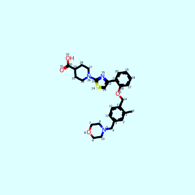 Cc1cc(CN2CCOCC2)ccc1COc1ccccc1-c1csc(N2CCC(C(=O)O)CC2)n1